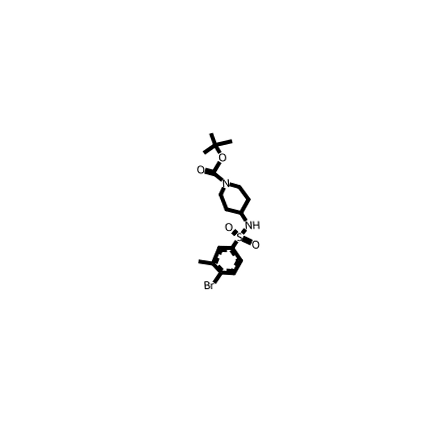 Cc1cc(S(=O)(=O)NC2CCN(C(=O)OC(C)(C)C)CC2)ccc1Br